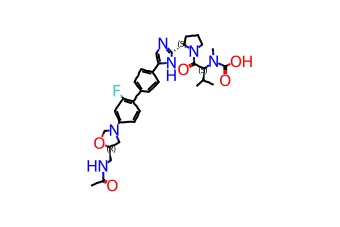 CC(=O)NC[C@@H]1CN(c2ccc(-c3ccc(-c4cnc([C@@H]5CCCN5C(=O)[C@H](C(C)C)N(C)C(=O)O)[nH]4)cc3)c(F)c2)CO1